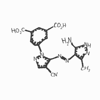 Cc1n[nH]c(N)c1N=Nc1c(C#N)cnn1-c1cc(C(=O)O)cc(C(=O)O)c1